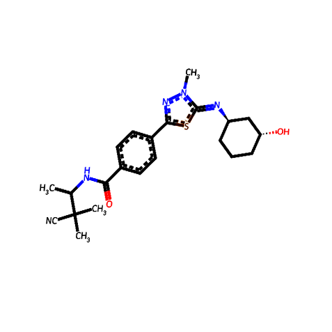 CC(NC(=O)c1ccc(-c2nn(C)c(=N[C@@H]3CCC[C@@H](O)C3)s2)cc1)C(C)(C)C#N